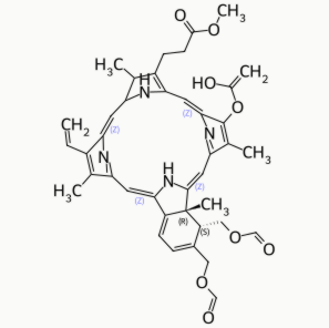 C=CC1=C(C)C2=NC/1=C\C1NC(=C(CCC(=O)OC)C1C)/C=C1N=C(/C=C3\N/C(=C\2)C2=CC=C(COC=O)[C@@H](COC=O)[C@]23C)C(C)=C\1OC(=C)O